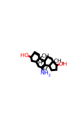 C[C@]12C=CC(O)CC1CC(N)=C1[C@H]2CC[C@]2(C)C(O)CC[C@@H]12